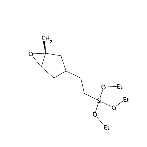 CCO[Si](CCC1CC2O[C@]2(C)C1)(OCC)OCC